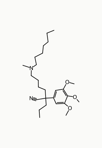 CCCCCCCN(C)CCCCC(C#N)(CCC)c1cc(OC)c(OC)c(OC)c1